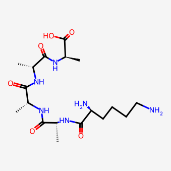 C[C@@H](NC(=O)[C@@H](C)NC(=O)[C@@H](C)NC(=O)[C@@H](C)NC(=O)[C@@H](N)CCCCN)C(=O)O